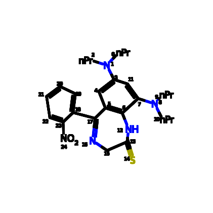 CCCN(CCC)c1cc2c(c(N(CCC)CCC)c1)NC(=S)CN=C2c1ccccc1[N+](=O)[O-]